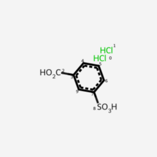 Cl.Cl.O=C(O)c1cccc(S(=O)(=O)O)c1